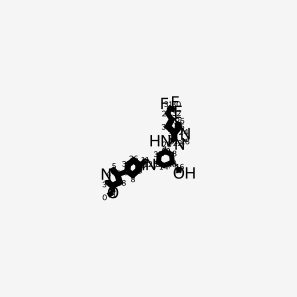 COc1cncc(-c2ccc(CN[C@H]3C[C@@H](CO)C[C@@H](Nc4ncnc5sc(CC(F)(F)F)cc45)C3)cc2)c1